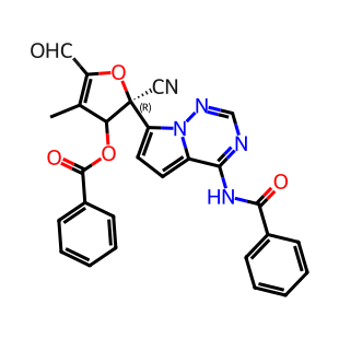 CC1=C(C=O)O[C@@](C#N)(c2ccc3c(NC(=O)c4ccccc4)ncnn23)C1OC(=O)c1ccccc1